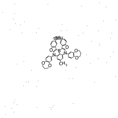 Cc1cc2c3c(c1)N(c1ccc4c(c1)OCCCO4)c1oc4ccc(C(C)(C)C)cc4c1B3c1c(oc3ccc(C(C)(C)C)cc13)N2c1ccc2c(c1)OCCCO2